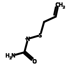 C=CCS[N]C(N)=O